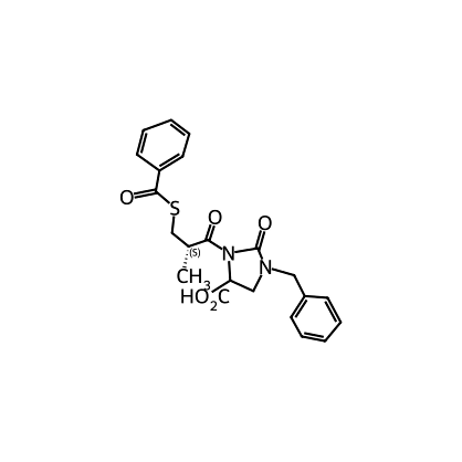 C[C@H](CSC(=O)c1ccccc1)C(=O)N1C(=O)N(Cc2ccccc2)CC1C(=O)O